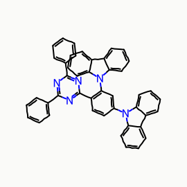 c1ccc(-c2nc(-c3ccccc3)nc(-c3ccc(-n4c5ccccc5c5ccccc54)cc3-n3c4ccccc4c4ccccc43)n2)cc1